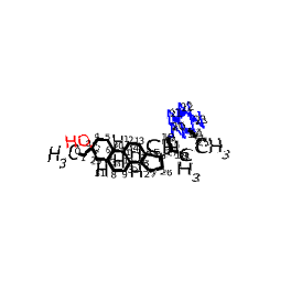 CCC1(O)CC[C@H]2[C@@H](CC[C@@H]3[C@@H]2CC[C@]2(C)[C@@H](C(C)Cn4nnnc4C)CC[C@@H]32)C1